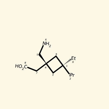 CC[C@]1(C(C)C)C[C@](CN)(CC(=O)O)C1